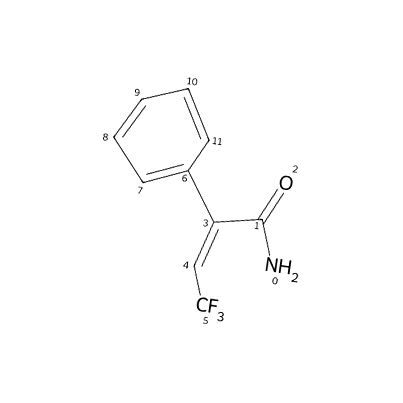 NC(=O)C(=CC(F)(F)F)c1ccccc1